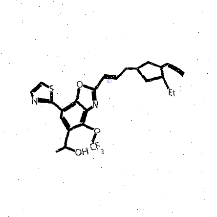 C=CC1CC(C/C=C/c2nc3c(OC(F)(F)F)c(C(C)O)cc(-c4nccs4)c3o2)CC1CC